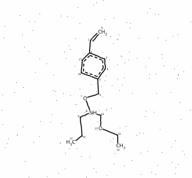 C=Cc1ccc(CO[SiH](CCC)COCC)cc1